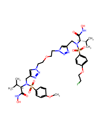 COc1ccc(S(=O)(=O)N(Cc2cn(CCOCCn3cc(CN([C@H](C(=O)NO)C(C)C)S(=O)(=O)c4ccc(OCCF)cc4)nn3)nn2)[C@@H](C(=O)NO)C(C)C)cc1